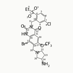 CCS(=O)(=O)c1ccc(Cl)cc1Cn1c(=O)[nH]c2c(Br)c(CN3CCC(N)C3)c(OC(F)(F)F)cc2c1=O